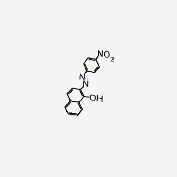 O=[N+]([O-])c1ccc(/N=N/c2ccc3ccccc3c2O)cc1